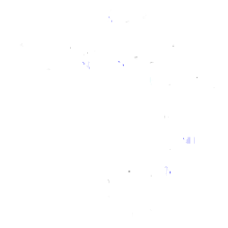 O=C(Nc1ccc(F)cc1)Nc1ccc(Oc2ccc3ncc(NCCO)nc3c2)c(F)c1